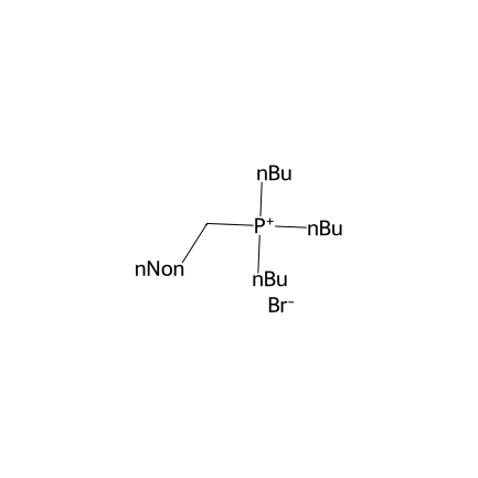 CCCCCCCCCC[P+](CCCC)(CCCC)CCCC.[Br-]